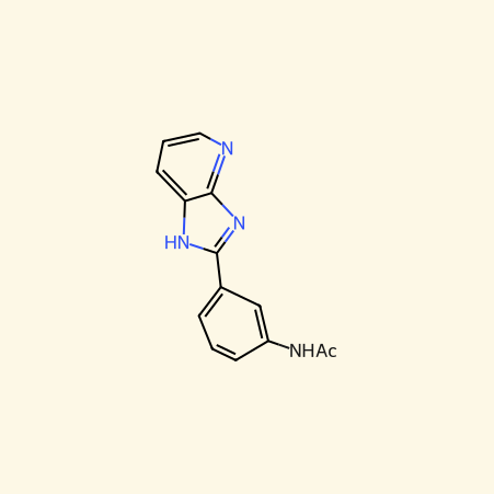 CC(=O)Nc1cccc(-c2nc3ncccc3[nH]2)c1